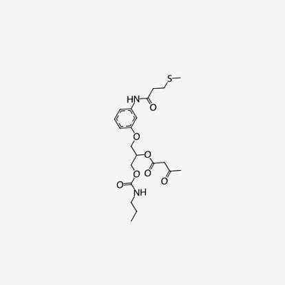 CCCNC(=O)OCC(COc1cccc(NC(=O)CCSC)c1)OC(=O)CC(C)=O